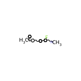 C/C=C/CCc1ccc(-c2ccc(CCC3CCC(C[C@H](C)c4ccccc4)CC3)cc2)cc1F